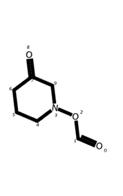 O=CON1CCCC(=O)C1